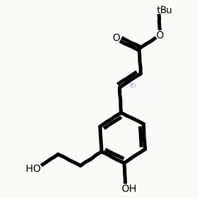 CC(C)(C)OC(=O)/C=C/c1ccc(O)c(CCO)c1